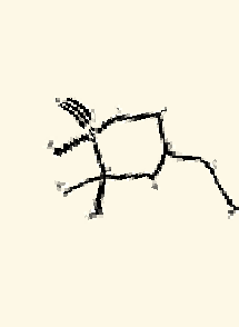 C#S1(C)CCC(CC)CC1(C)C